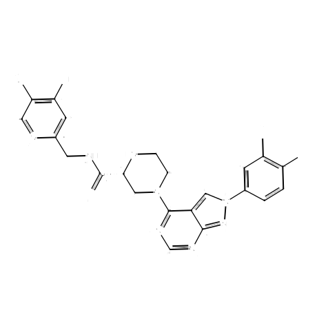 Cc1ccc(-n2cc3c(N4CCN[C@@H](C(=O)NCc5cc(C)c(Br)cn5)C4)ncnc3n2)cc1F